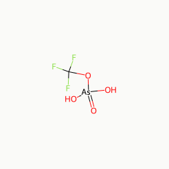 O=[As](O)(O)OC(F)(F)F